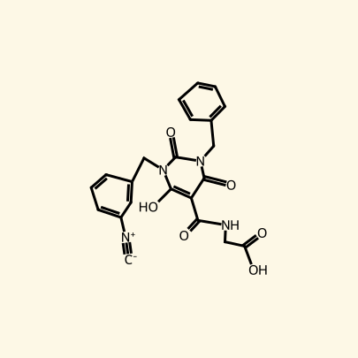 [C-]#[N+]c1cccc(Cn2c(O)c(C(=O)NCC(=O)O)c(=O)n(Cc3ccccc3)c2=O)c1